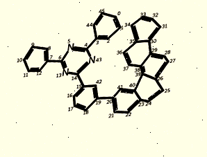 c1ccc(-c2nc(-c3ccccc3)nc(-c3cccc(-c4ccc5ccc6ccc7c8ccccc8ccc7c6c5c4)c3)n2)cc1